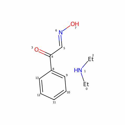 CCNCC.O=C(C=NO)c1ccccc1